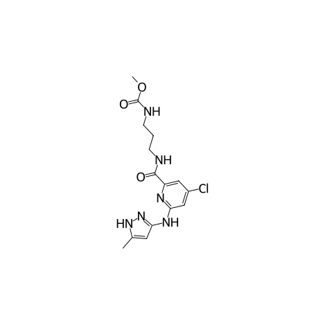 COC(=O)NCCCNC(=O)c1cc(Cl)cc(Nc2cc(C)[nH]n2)n1